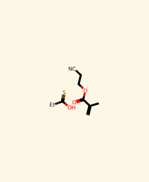 C=C(C)C(=O)OCCC#N.CCC(O)=S